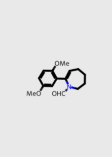 COc1ccc(OC)c(C2=CCCCCN2C=O)c1